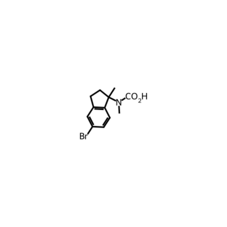 CN(C(=O)O)C1(C)CCc2cc(Br)ccc21